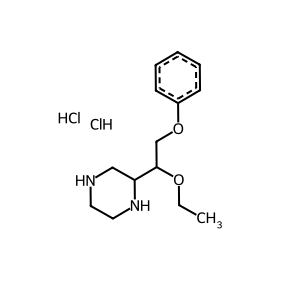 CCOC(COc1ccccc1)C1CNCCN1.Cl.Cl